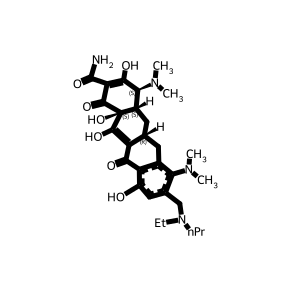 CCCN(CC)Cc1cc(O)c2c(c1N(C)C)C[C@H]1C[C@H]3[C@H](N(C)C)C(O)=C(C(N)=O)C(=O)[C@@]3(O)C(O)=C1C2=O